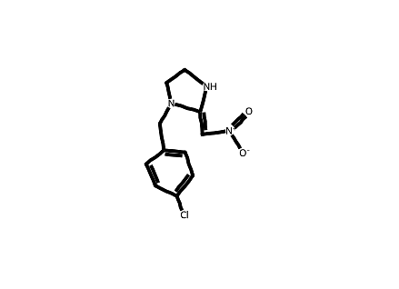 O=[N+]([O-])C=C1NCCN1Cc1ccc(Cl)cc1